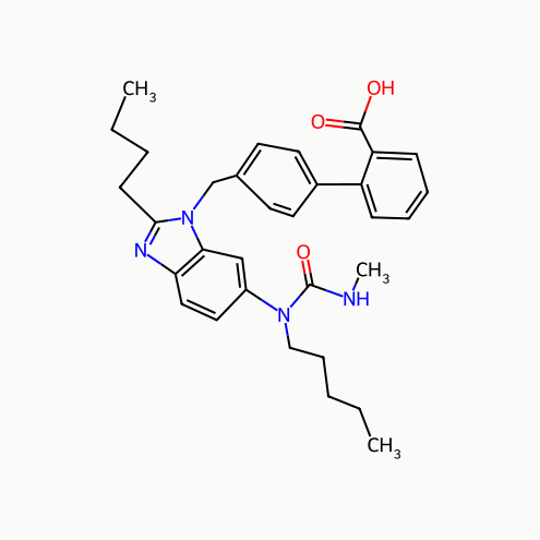 CCCCCN(C(=O)NC)c1ccc2nc(CCCC)n(Cc3ccc(-c4ccccc4C(=O)O)cc3)c2c1